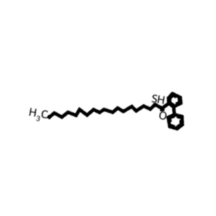 CCCCCCCCCCCCCCCCCCC(S)C(=O)c1ccccc1-c1ccccc1